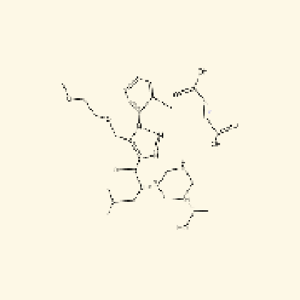 COCCOCc1c(C(=O)N(CC(C)C)[C@@H]2CNC[C@H](C(C)O)C2)nnn1-c1ccccc1C.O=C(O)/C=C/C(=O)O